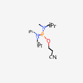 CC(C)N(C)P(OCCC#N)N(C(C)C)C(C)C